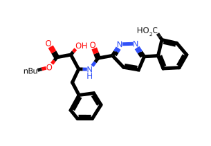 CCCCOC(=O)C(O)C(Cc1ccccc1)NC(=O)c1ccc(-c2ccccc2C(=O)O)nn1